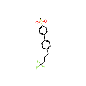 CS(=O)(=O)c1ccc(-c2ccc(CCCC(F)(F)F)cc2)cc1